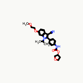 COCCOc1ccc2c(C#N)c(-c3ccc(NC(=O)O[C@H]4CCOC4)cc3)n(C(C)C)c2c1